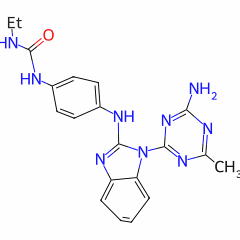 CCNC(=O)Nc1ccc(Nc2nc3ccccc3n2-c2nc(C)nc(N)n2)cc1